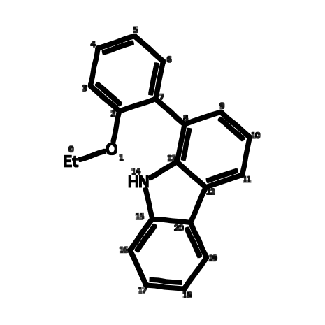 CCOc1ccccc1-c1cccc2c1[nH]c1ccccc12